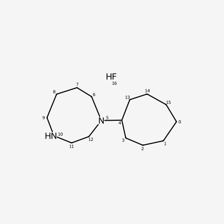 C1CCCC(N2CCCCNCC2)CCC1.F